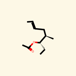 C/C=C/C[C@@H](C)[C@H](CC)OC(C)=O